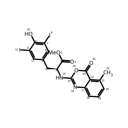 COC(=O)[C@H](Cc1cc(I)c(O)c(I)c1)Nc1nc2cccc(C)c2c(=O)o1